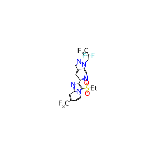 CCS(=O)(=O)c1c(-c2cc3cnn(CC(F)(F)C(F)(F)F)c3cn2)nc2cc(C(F)(F)F)ccn12